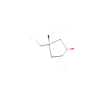 OC[C@@]1([SeH])C[C@@H](O)[C@H](O)[C@H]1O